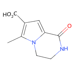 Cc1c(C(=O)O)cc2n1CCNC2=O